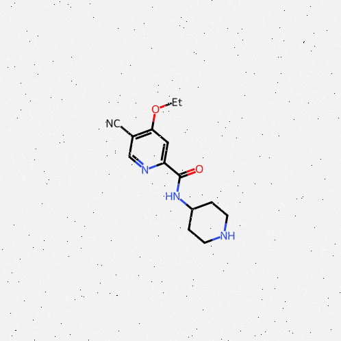 CCOc1cc(C(=O)NC2CCNCC2)ncc1C#N